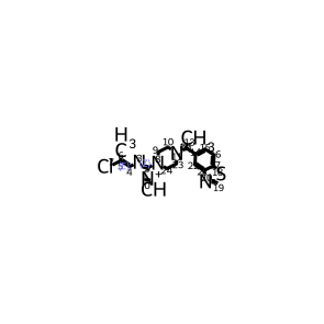 C#[N+]/C(=N\C=C(/C)Cl)N1CCN([C@@H](C)c2ccc3scnc3c2)CC1